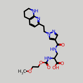 COCCOC(=O)NC(CNC(=O)c1cnn(CCc2ccc3c(n2)NCCC3)c1)C(=O)O